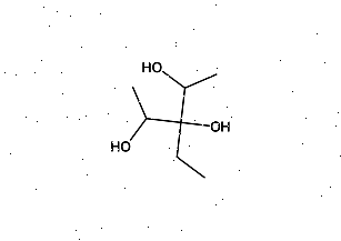 CCC(O)(C(C)O)C(C)O